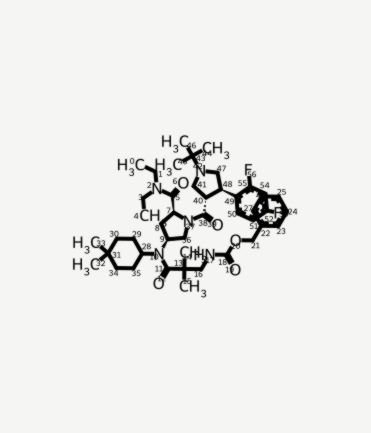 CCN(CC)C(=O)[C@@H]1C[C@H](N(C(=O)C(C)(C)CNC(=O)OCc2ccccc2)C2CCC(C)(C)CC2)CN1C(=O)[C@@H]1CN(C(C)(C)C)C[C@H]1c1ccc(F)cc1F